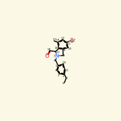 CCc1ccc(CN2Cc3cc(Br)cc(C)c3C2C=O)cc1